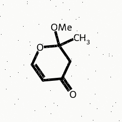 COC1(C)CC(=O)C=CO1